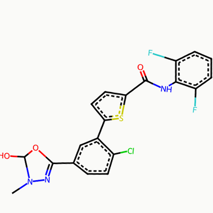 CN1N=C(c2ccc(Cl)c(-c3ccc(C(=O)Nc4c(F)cccc4F)s3)c2)OC1O